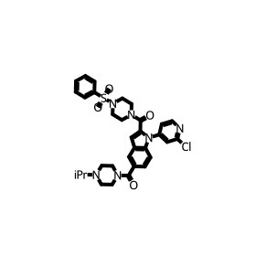 CC(C)N1CCN(C(=O)c2ccc3c(c2)cc(C(=O)N2CCN(S(=O)(=O)c4ccccc4)CC2)n3-c2ccnc(Cl)c2)CC1